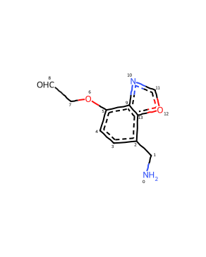 NCc1ccc(OCC=O)c2ncoc12